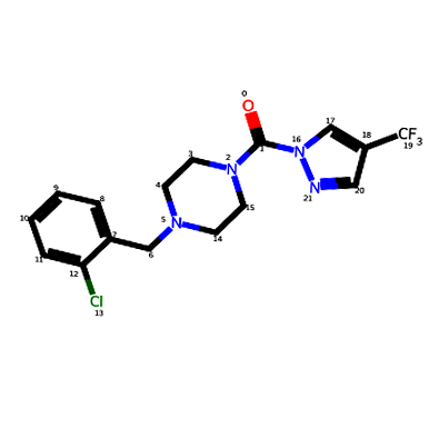 O=C(N1CCN(Cc2ccccc2Cl)CC1)n1cc(C(F)(F)F)cn1